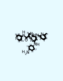 Cc1cccc(Nc2cc(N[C@H]3CC[C@H](N)CC3)nn3c(C(=O)Nc4ccncc4)cnc23)n1